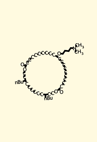 CCCCC1CCCCCCC(CCCC)CCOC(=O)CCCCCCCCCC(OCCCCN(C)C)CCCCCCCCCC(=O)OCC1